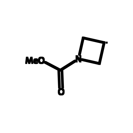 COC(=O)N1C[CH]C1